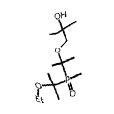 CCOC(C)(C)P(C)(=O)C(C)(C)OCC(C)(C)O